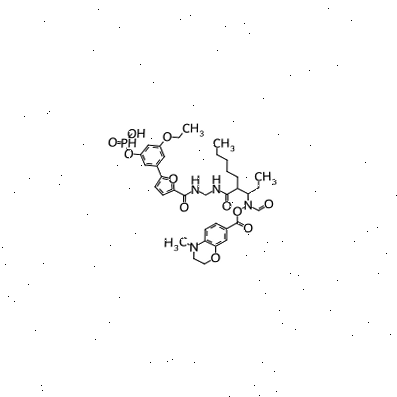 CCCCCC(C(=O)NCNC(=O)c1ccc(-c2cc(OCC)cc(O[PH](=O)O)c2)o1)C(CC)N(C=O)OC(=O)c1ccc2c(c1)OCCN2C